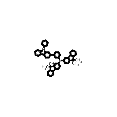 CC1(C)c2ccccc2-c2cc(N(c3cccc(-c4ccc5c6ccccc6n(-c6ccccc6)c5c4)c3)c3ccc4c(c3)C(C)(C)c3ccccc3-4)ccc21